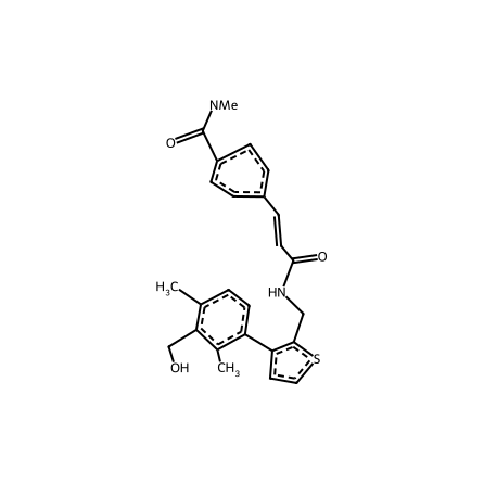 CNC(=O)c1ccc(/C=C/C(=O)NCc2sccc2-c2ccc(C)c(CO)c2C)cc1